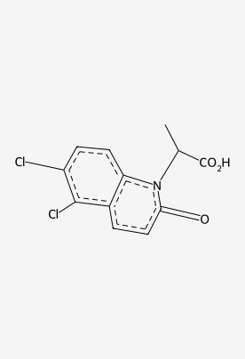 CC(C(=O)O)n1c(=O)ccc2c(Cl)c(Cl)ccc21